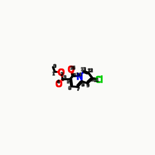 CCOC(=O)c1ccc2cc(Cl)ccn2c1=O